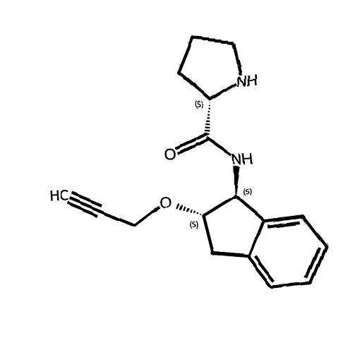 C#CCO[C@H]1Cc2ccccc2[C@@H]1NC(=O)[C@@H]1CCCN1